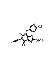 CC#Cc1c(C)n(Cc2ccc(Cl)nc2)c2nc(SC)nn2c1=O